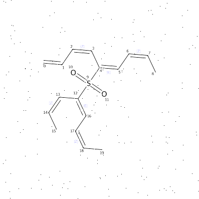 C=C\C=C/C(=C\C=C/C)S(=O)(=O)C(/C=C\C)=C/C=C\C